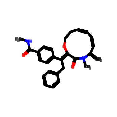 C=C1/C=C\C=C/CCO/C(=C(/Cc2ccccc2)c2ccc(C(=O)NC)cc2)C(=O)N1C